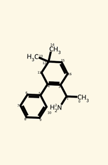 CC(N)C1=C(c2ccccc2)CC(C)(C)C=C1